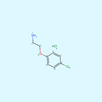 Cl.NCCOc1ccc(Cl)cc1